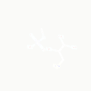 COS(=O)(=O)O.NCC(O)C(O)O